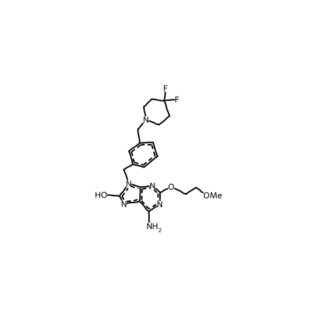 COCCOc1nc(N)c2nc(O)n(Cc3cccc(CN4CCC(F)(F)CC4)c3)c2n1